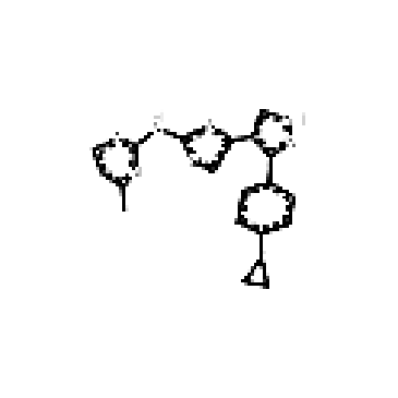 Cc1ccnc(Nc2nc(-c3c[nH]nc3-c3ccc(C4CC4)cc3)cs2)n1